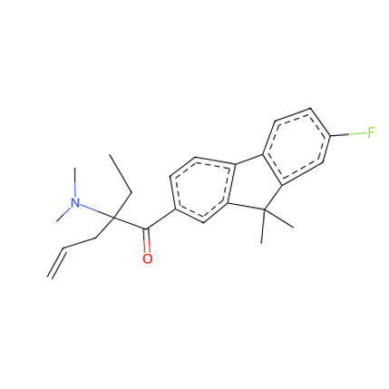 C=CCC(CC)(C(=O)c1ccc2c(c1)C(C)(C)c1cc(F)ccc1-2)N(C)C